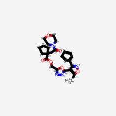 Cc1onc(-c2ccccc2)c1-c1nnc(COC(=O)C2(CC(=O)N3CCOCC3)CCCC2)o1